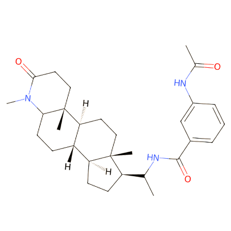 CC(=O)Nc1cccc(C(=O)NC(C)[C@H]2CC[C@H]3[C@@H]4CCC5N(C)C(=O)CC[C@]5(C)[C@H]4CC[C@]23C)c1